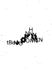 COc1cc(OC2CN(C(C)(C)C)C2)ccc1-n1cnc(Nc2cnc(C#N)cn2)c1